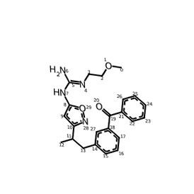 COCCN=C(N)Nc1cc(C(C)Cc2cccc(C(=O)c3ccccc3)c2)no1